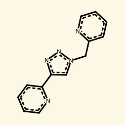 c1ccc(Cn2cc(-c3ccccn3)nn2)nc1